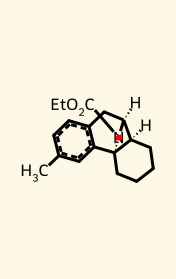 CCOC(=O)N1C[C@@]23CCCC[C@@H]2[C@@H]1Cc1ccc(C)cc13